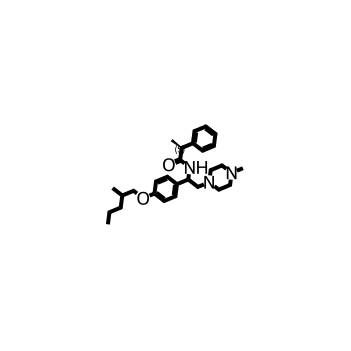 CCCC(C)COc1ccc(C(CN2CCN(C)CC2)NC(=O)[C@@H](C)c2ccccc2)cc1